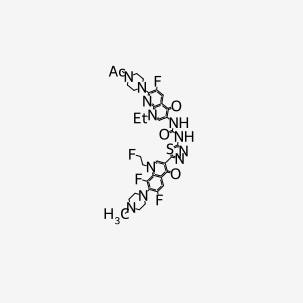 CCn1cc(NC(=O)Nc2nnc(-c3cn(CCF)c4c(F)c(N5CCN(C)CC5)c(F)cc4c3=O)s2)c(=O)c2cc(F)c(N3CCN(C(C)=O)CC3)nc21